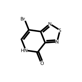 O=c1[nH]cc(Br)c2nsnc12